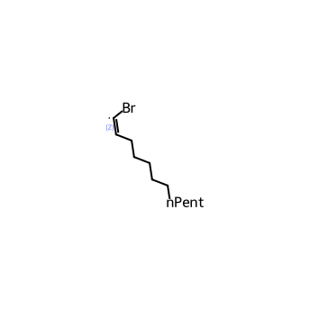 CCCCCCCCCC/C=[C]\Br